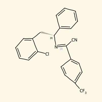 N#C/C(=N\[C@H](Cc1ccccc1Cl)c1ccccc1)c1ccc(C(F)(F)F)cc1